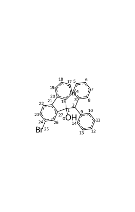 OC1(C(c2ccccc2)c2ccccc2)c2ccccc2-c2ccc(Br)cc21